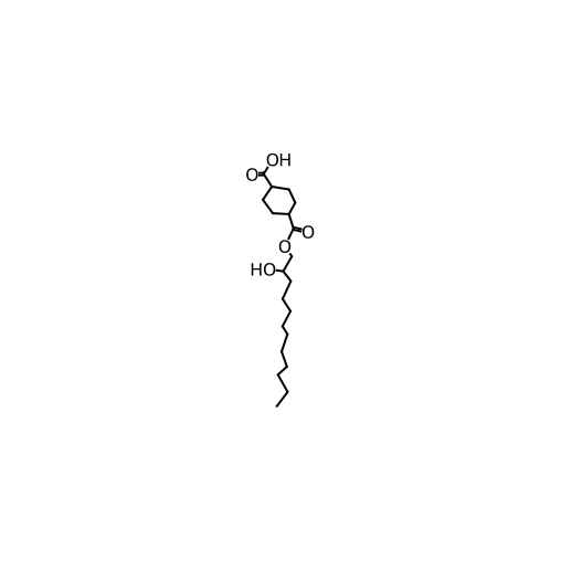 CCCCCCCCCCC(O)COC(=O)C1CCC(C(=O)O)CC1